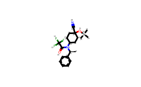 C[C@@H](c1ccccc1)N(C(=O)C(F)(F)F)C1CCC(C#N)(O[Si](C)(C)C)CC1